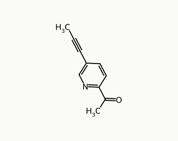 CC#Cc1ccc(C(C)=O)nc1